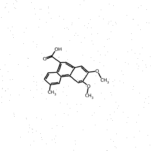 COc1cc2cc(C(=O)O)c3ccc(C)cc3c2cc1OC